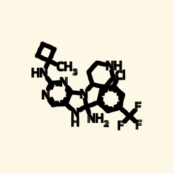 CC1(Nc2ncc3c(n2)N(C2CCNCC2)C(N)(c2cc(Cl)cc(C(F)(F)F)c2)N3)CCC1